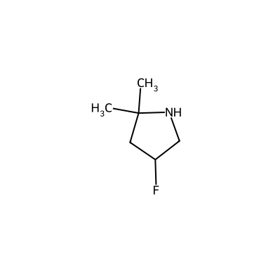 CC1(C)CC(F)CN1